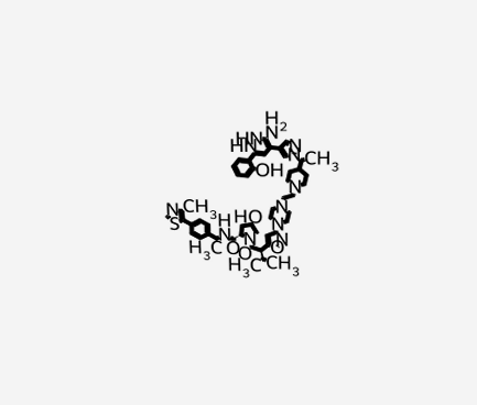 Cc1ncsc1-c1ccc([C@H](C)NC(=O)[C@@H]2C[C@@H](O)CN2C(=O)[C@@H](c2cc(N3CCN(CCN4CCC(C(C)n5cc(C6=C(N)NNC(c7ccccc7O)=C6)cn5)CC4)CC3)no2)C(C)C)cc1